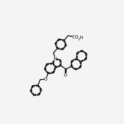 O=C(O)Cc1ccc(Cn2cc(C(=O)c3ccc4ccccc4c3)c3cc(OCc4ccccc4)ccc32)cc1